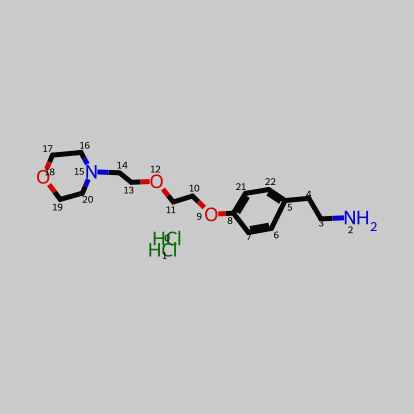 Cl.Cl.NCCc1ccc(OCCOCCN2CCOCC2)cc1